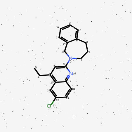 CCc1cc(N2CCCc3ccccc3C2)nc2ccc(Cl)cc12